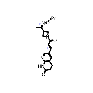 CCCO/N=C(/C)C1CN(C(=O)/C=C/c2cnc3c(c2)CCC(=O)N3)C1